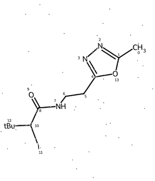 Cc1nnc(CCNC(=O)C(I)C(C)(C)C)o1